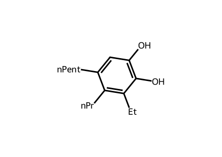 CCCCCc1cc(O)c(O)c(CC)c1CCC